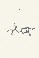 CCOC(Cc1ccc(O)c(Br)c1)C(=O)OC(C)C